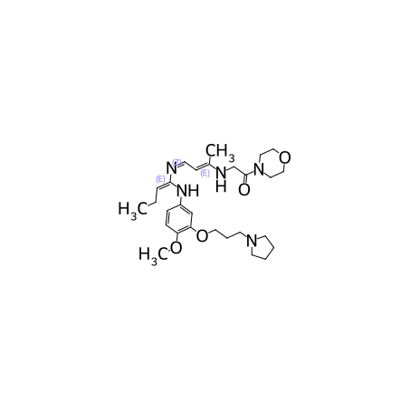 CC/C=C(/N=C\C=C(/C)NCC(=O)N1CCOCC1)Nc1ccc(OC)c(OCCCN2CCCC2)c1